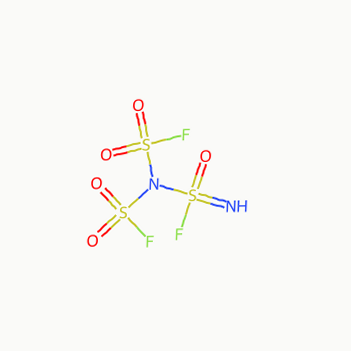 N=S(=O)(F)N(S(=O)(=O)F)S(=O)(=O)F